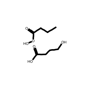 CCCC(=O)OO.O=C(O)CCCO